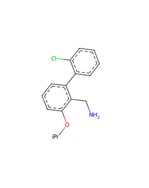 CC(C)Oc1cccc(-c2ccccc2Cl)c1CN